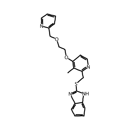 Cc1c(OCCOCc2ccccn2)ccnc1CSc1nc2ccccc2[nH]1